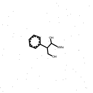 CNC(O)C(CO)c1ccccc1